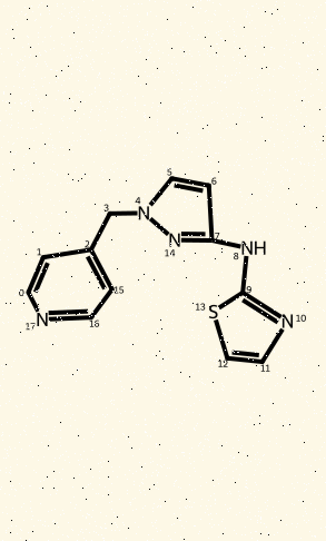 c1cc(Cn2ccc(Nc3nccs3)n2)ccn1